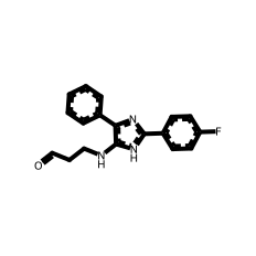 O=CCCNc1[nH]c(-c2ccc(F)cc2)nc1-c1ccccc1